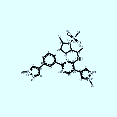 CC(Nc1nc(-c2cccc(-c3cnn(C)c3)c2)ncc1-c1cnn(C)c1)C1CCC(C)N1S(C)(=O)=O